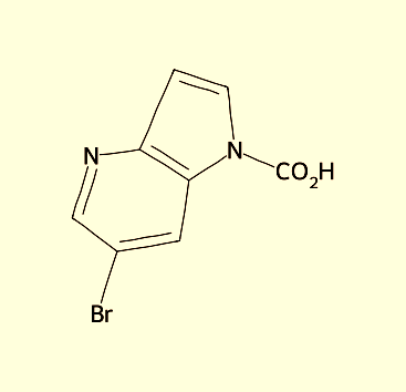 O=C(O)n1ccc2ncc(Br)cc21